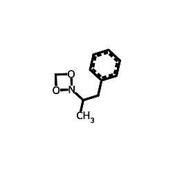 CC(Cc1ccccc1)N1OCO1